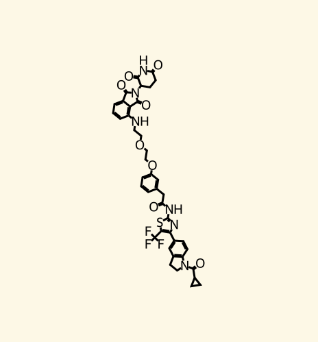 O=C1CCC(N2C(=O)c3cccc(NCCOCCOc4cccc(CC(=O)Nc5nc(-c6ccc7c(c6)CCN7C(=O)C6CC6)c(C(F)(F)F)s5)c4)c3C2=O)C(=O)N1